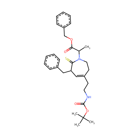 CC(C(=O)OCc1ccccc1)N1CCC(CCNC(=O)OC(C)(C)C)=CC(Cc2ccccc2)C1=S